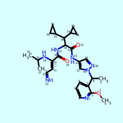 COc1ncccc1C(C)n1cc(NC(=O)C(NC(=O)/C(=C/C=N)NC(C)C)C(C2CC2)C2CC2)cn1